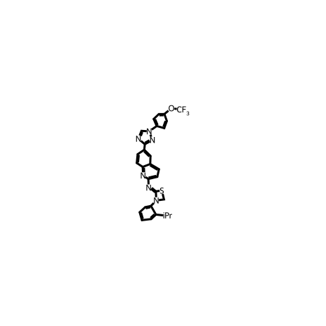 CC(C)c1ccccc1N1CS/C1=N\c1ccc2cc(-c3ncn(-c4ccc(OC(F)(F)F)cc4)n3)ccc2n1